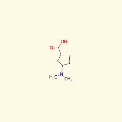 CN(C)C1CCC(C(=O)O)C1